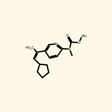 CN(C(=O)OC(C)(C)C)c1ccc(/C(=C\C2CCCC2)C(=O)O)cn1